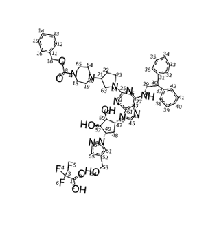 O=C(O)C(F)(F)F.O=C(OCc1ccccc1)N1CCN(C2CCN(c3nc(NCC(c4ccccc4)c4ccccc4)c4ncn([C@@H]5C[C@H](n6cc(CO)cn6)[C@@H](O)[C@H]5O)c4n3)C2)CC1